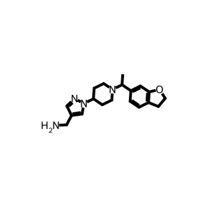 CC(c1ccc2c(c1)OCC2)N1CCC(n2cc(CN)cn2)CC1